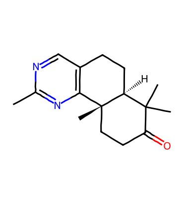 Cc1ncc2c(n1)[C@@]1(C)CCC(=O)C(C)(C)[C@@H]1CC2